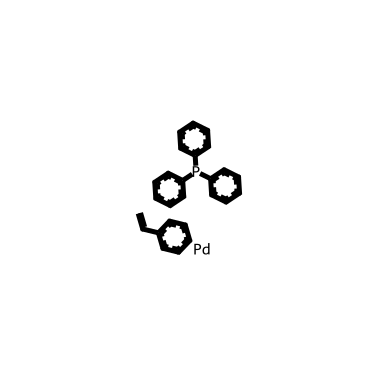 C=Cc1ccccc1.[Pd].c1ccc(P(c2ccccc2)c2ccccc2)cc1